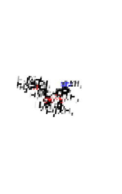 Cc1cc2c(ncn2C)c(/C=C/C[C@@H]2OC(C)(C)OC2C(C)/C=C\[C@@H](C)[C@H](C)O[Si](C)(C)C(C)(C)C)c1C(=O)OCC[Si](C)(C)C